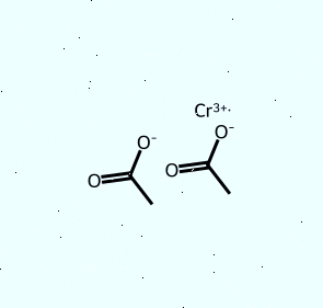 CC(=O)[O-].CC(=O)[O-].[Cr+3]